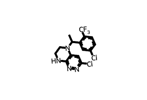 CC(c1cc(Cl)ccc1C(F)(F)F)N1CCNc2nnc(Cl)cc21